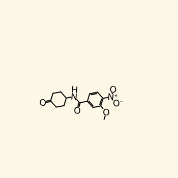 COc1cc(C(=O)NC2CCC(=O)CC2)ccc1[N+](=O)[O-]